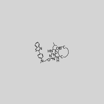 CC(C)CC(Nc1nc(NC2CCCCCCCCCCC2)nc(OCCN(C)c2ccc(-c3nc4ccccc4s3)cc2)n1)C(=O)O